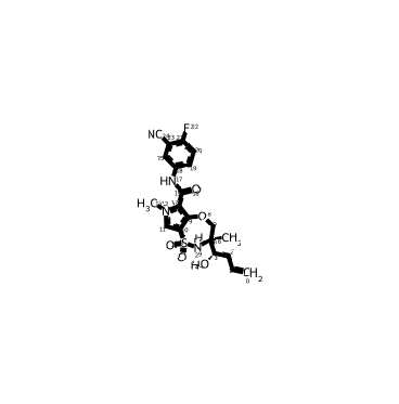 C=CC[C@H](O)[C@@]1(C)COc2c(cn(C)c2C(=O)Nc2ccc(F)c(C#N)c2)S(=O)(=O)N1